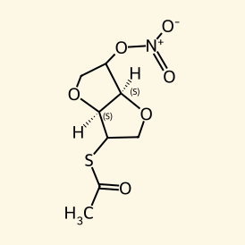 CC(=O)SC1CO[C@@H]2C(O[N+](=O)[O-])CO[C@H]12